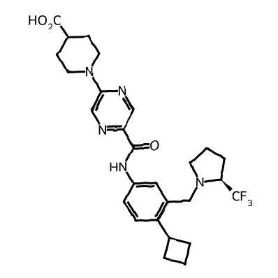 O=C(Nc1ccc(C2CCC2)c(CN2CCC[C@H]2C(F)(F)F)c1)c1cnc(N2CCC(C(=O)O)CC2)cn1